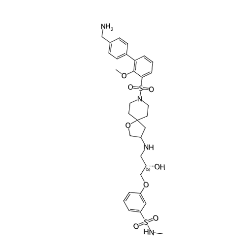 CNS(=O)(=O)c1cccc(OC[C@@H](O)CNC2COC3(CCN(S(=O)(=O)c4cccc(-c5ccc(CN)cc5)c4OC)CC3)C2)c1